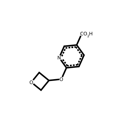 O=C(O)c1ccc(OC2COC2)nc1